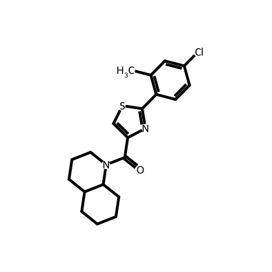 Cc1cc(Cl)ccc1-c1nc(C(=O)N2CCCC3CCCCC32)cs1